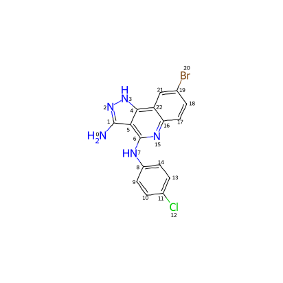 Nc1n[nH]c2c1c(Nc1ccc(Cl)cc1)nc1ccc(Br)cc12